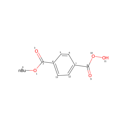 CCCCOC(=O)c1ccc(C(=O)OO)cc1